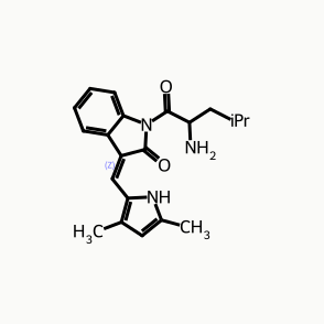 Cc1cc(C)c(/C=C2\C(=O)N(C(=O)C(N)CC(C)C)c3ccccc32)[nH]1